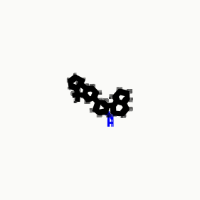 CC1(C)c2ccccc2-c2ccc(-c3ccc4[nH]c5ccc6ccccc6c5c4c3)cc21